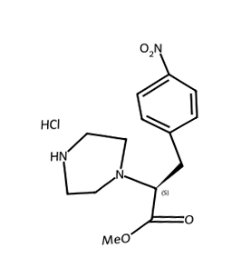 COC(=O)[C@H](Cc1ccc([N+](=O)[O-])cc1)N1CCNCC1.Cl